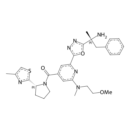 COCCN(C)c1cc(C(=O)N2CCC[C@@H]2c2nc(C)cs2)cc(-c2nnc([C@](C)(N)Cc3ccccc3)o2)n1